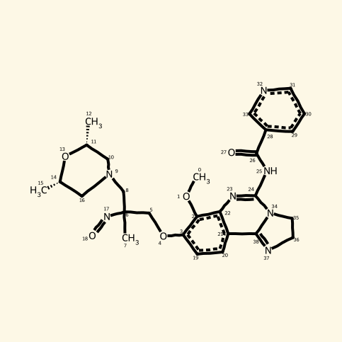 COc1c(OCC(C)(CN2C[C@@H](C)O[C@@H](C)C2)N=O)ccc2c1N=C(NC(=O)c1cccnc1)N1CCN=C21